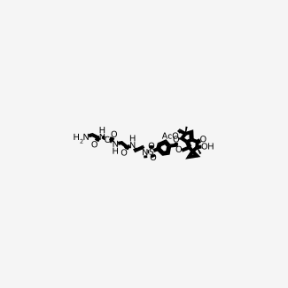 CC(=O)OC[C@]1(C)C=C2C(=O)[C@](C)(O)C3(CC3)C(C)=C2[C@H]1OC(=O)c1ccc(S(=O)(=O)N(C)CCNC(=O)CNC(=O)CNC(=O)CN)cc1